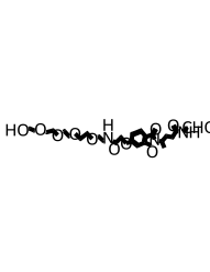 CC(CCC(=O)NC=O)N1C(=O)c2ccc(OCC(=O)NCCOCCOCCOCCOCCO)cc2C1=O